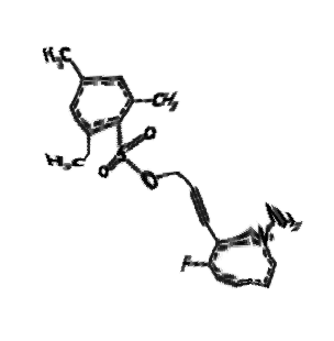 Cc1cc(C)c(S(=O)(=O)OCC#Cc2c(F)ccc[n+]2N)c(C)c1